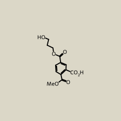 COC(=O)c1ccc(C(=O)OCCCO)cc1C(=O)O